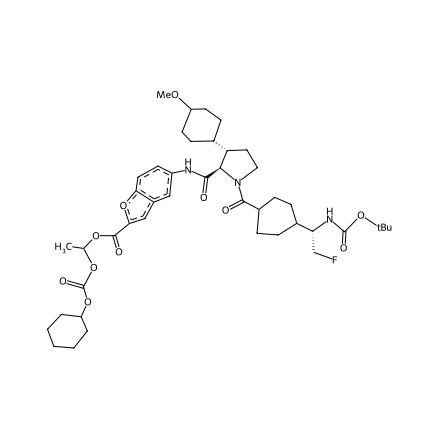 COC1CCC([C@@H]2CCN(C(=O)C3CCC([C@@H](CF)NC(=O)OC(C)(C)C)CC3)[C@H]2C(=O)Nc2ccc3oc(C(=O)OC(C)OC(=O)OC4CCCCC4)cc3c2)CC1